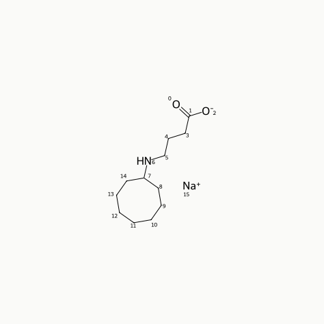 O=C([O-])CCCNC1CCCCCCC1.[Na+]